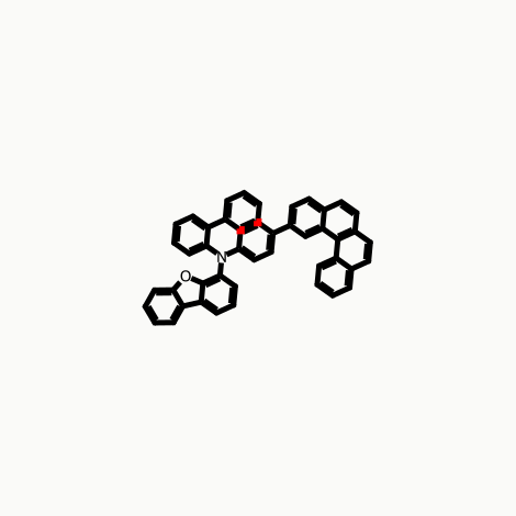 c1ccc(-c2ccccc2N(c2ccc(-c3ccc4ccc5ccc6ccccc6c5c4c3)cc2)c2cccc3c2oc2ccccc23)cc1